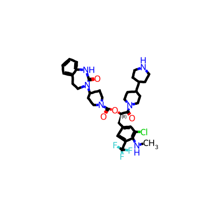 CNc1c(Cl)cc(C[C@@H](OC(=O)N2CCC(N3CCc4ccccc4NC3=O)CC2)C(=O)N2CCC(C3CCNCC3)CC2)cc1C(F)(F)F